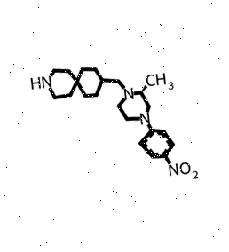 C[C@H]1CN(c2ccc([N+](=O)[O-])cc2)CCN1CC1CCC2(CCNCC2)CC1